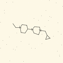 CCN1CCC(N2CCN(CC3CC3)CC2)CC1